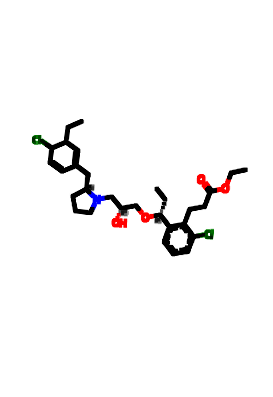 CCOC(=O)CCc1c(Cl)cccc1[C@@H](CC)OC[C@H](O)CN1CCC[C@H]1CC1=CC(CC)C(Cl)C=C1